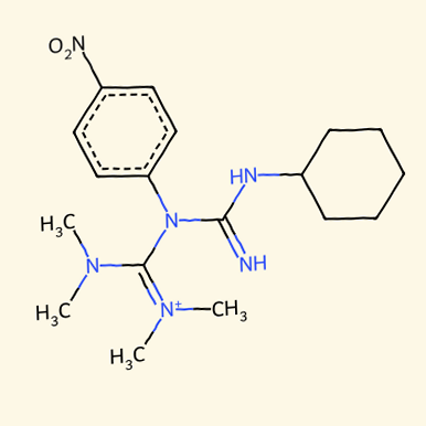 CN(C)C(N(C(=N)NC1CCCCC1)c1ccc([N+](=O)[O-])cc1)=[N+](C)C